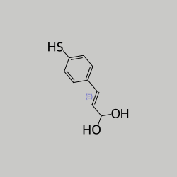 OC(O)/C=C/c1ccc(S)cc1